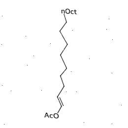 CCCCCCCCCCCCCCCC=COC(C)=O